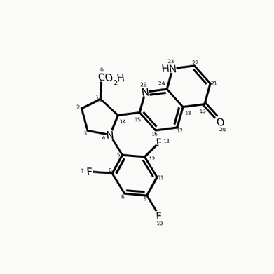 O=C(O)[C]1CCN(c2c(F)cc(F)cc2F)C1c1ccc2c(=O)cc[nH]c2n1